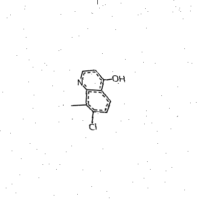 Cc1c(Cl)ccc2c(O)ccnc12